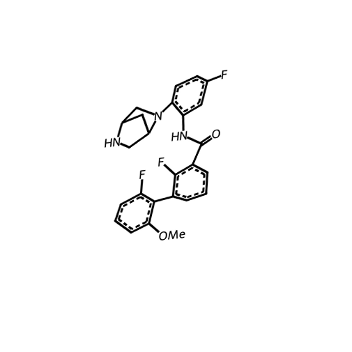 COc1cccc(F)c1-c1cccc(C(=O)Nc2cc(F)ccc2N2CC3CC2CN3)c1F